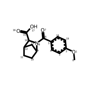 COc1ccc(C(=O)N2C3CCC(C3)C2C(=O)O)cc1